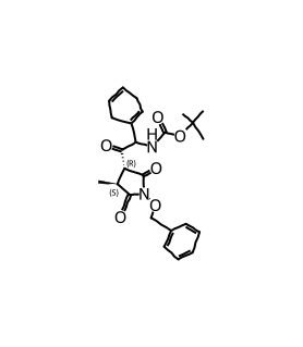 C[C@@H]1C(=O)N(OCc2ccccc2)C(=O)[C@H]1C(=O)C(NC(=O)OC(C)(C)C)C1=CCC=CC1